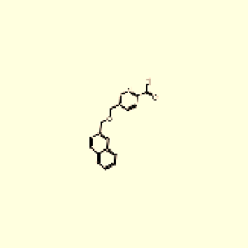 O=C(Cl)c1ccc(COCc2ccc3ccccc3c2)cn1